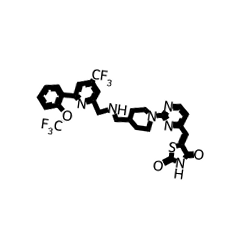 O=C1NC(=O)C(=Cc2ccnc(N3CCC(CNCc4cc(C(F)(F)F)cc(-c5ccccc5OC(F)(F)F)n4)CC3)n2)S1